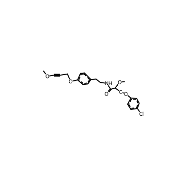 COC#CCOc1ccc(CCNC(=O)C(COc2ccc(Cl)cc2)OC)cc1